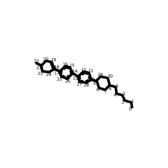 CCCCCCC1CCC(c2ccc(-c3ccc(C4=CCC(C)CC4)cc3)cc2)CC1